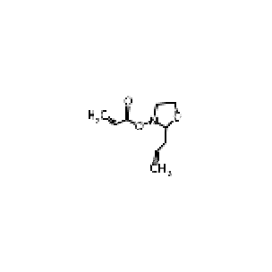 C=CCC1OCCN1OC(=O)C=C